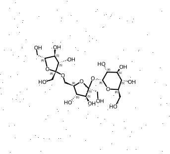 OC[C@H]1O[C@@](CO)(OC[C@H]2O[C@@](CO)(O[C@H]3O[C@H](CO)[C@@H](O)[C@H](O)[C@H]3O)[C@@H](O)[C@@H]2O)[C@@H](O)[C@@H]1O